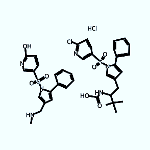 CC(C)(C)C(Cc1cc(-c2ccccc2)n(S(=O)(=O)c2ccc(Cl)nc2)c1)NC(=O)O.CNCc1cc(-c2ccccc2)n(S(=O)(=O)c2ccc(O)nc2)c1.Cl